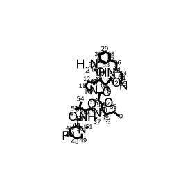 CC[C@H](C)[C@@H]([C@@H](CC(=O)N1CCC[C@H]1[C@H](OC)[C@@H](C)C(=O)N[C@H](CC#N)Cc1cccc(N)c1)OC)N(C)C(=O)[C@@H](NC(=O)[C@@H]1C[C@@H](F)CCN1C)C(C)C